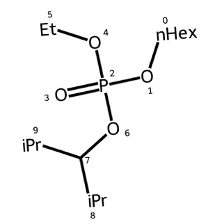 CCCCCCOP(=O)(OCC)OC(C(C)C)C(C)C